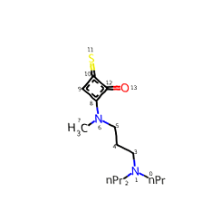 CCCN(CCC)CCCN(C)c1cc(=S)c1=O